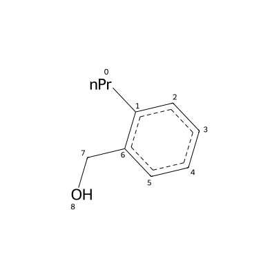 CCCc1ccccc1CO